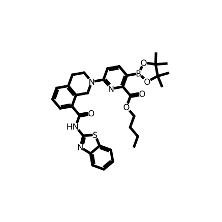 CCCCOC(=O)c1nc(N2CCc3cccc(C(=O)Nc4nc5ccccc5s4)c3C2)ccc1B1OC(C)(C)C(C)(C)O1